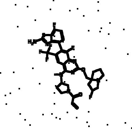 C=CC(=O)N1CCC(N(C)c2nc(OCC34CCCN3CC(F)C4)nc3c(F)c(-c4ccc(F)c5sc(N)nc45)c(C(F)(F)F)cc23)C1